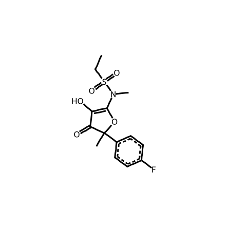 CCS(=O)(=O)N(C)C1=C(O)C(=O)C(C)(c2ccc(F)cc2)O1